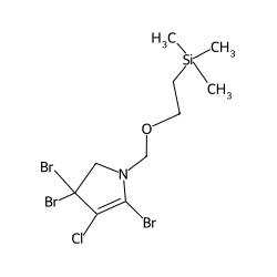 C[Si](C)(C)CCOCN1CC(Br)(Br)C(Cl)=C1Br